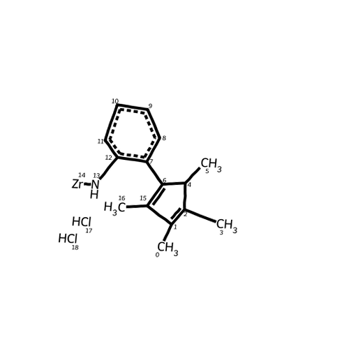 CC1=C(C)C(C)C(c2ccccc2[NH][Zr])=C1C.Cl.Cl